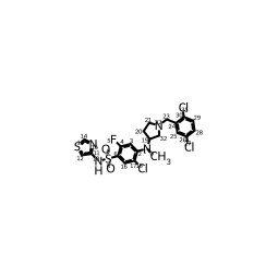 CN(c1cc(F)c(S(=O)(=O)Nc2cscn2)cc1Cl)C1CCN(Cc2cc(Cl)ccc2Cl)C1